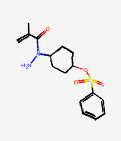 C=C(C)C(=O)N(N)C1CCC(OS(=O)(=O)c2ccccc2)CC1